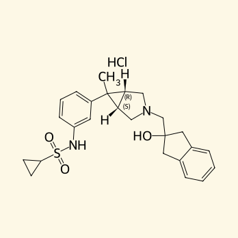 CC1(c2cccc(NS(=O)(=O)C3CC3)c2)[C@@H]2CN(CC3(O)Cc4ccccc4C3)C[C@@H]21.Cl